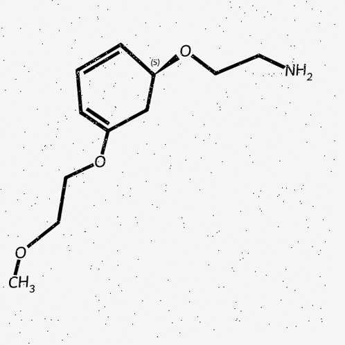 COCCOC1=CC=C[C@@H](OCCN)C1